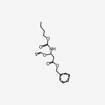 CCCCOC(=O)NC(CC(=O)OCc1ccccc1)OC=S